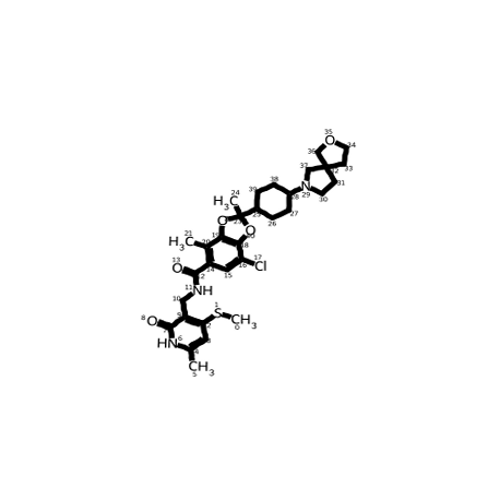 CSc1cc(C)[nH]c(=O)c1CNC(=O)c1cc(Cl)c2c(c1C)OC(C)(C1CCC(N3CCC4(CCOC4)C3)CC1)O2